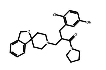 O=C(C(Cc1cc(O)ccc1Cl)CN1CCC2(CC1)OCc1ccccc12)N1CCCC1